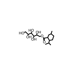 CC1CCC(C(C)C)C(C(=O)OCC(O)C(O)C(O)C(O)CO)C1